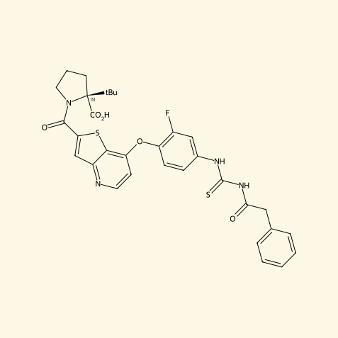 CC(C)(C)[C@]1(C(=O)O)CCCN1C(=O)c1cc2nccc(Oc3ccc(NC(=S)NC(=O)Cc4ccccc4)cc3F)c2s1